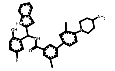 Cc1cc(C(=O)NC(c2cc3ccccc3[nH]2)c2cc(F)ccc2O)cc(-c2ccc(N3CCC(N)CC3)c(C)c2)c1